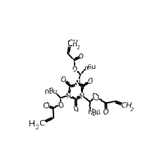 C=CC(=O)OC(CCCC)n1c(=O)n(C(CCCC)OC(=O)C=C)c(=O)n(C(CCCC)OC(=O)C=C)c1=O